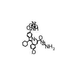 COc1ccc2c(c1)C=C(C(=O)N1CC(N)C1)Cn1c-2c(C2CCCCC2)c2ccc(C(=O)NS(=O)(=O)N(C)C)cc21